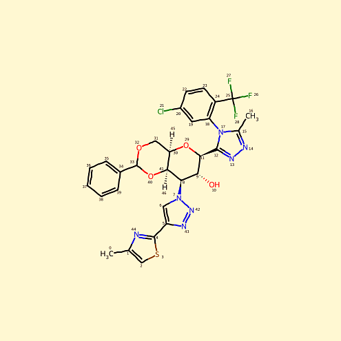 Cc1csc(-c2cn([C@@H]3[C@@H](O)[C@H](c4nnc(C)n4-c4cc(Cl)ccc4C(F)(F)F)O[C@@H]4COC(c5ccccc5)O[C@H]34)nn2)n1